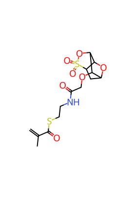 C=C(C)C(=O)SCCNC(=O)COC1C2CC3C(O2)C1OS3(=O)=O